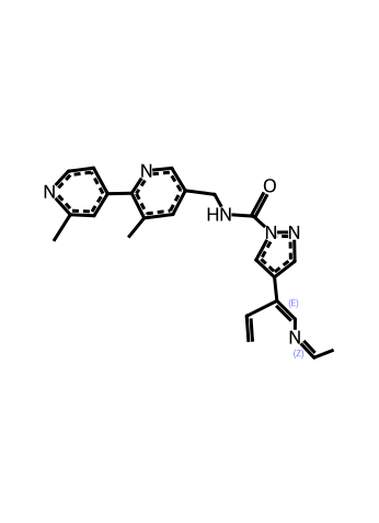 C=C/C(=C\N=C/C)c1cnn(C(=O)NCc2cnc(-c3ccnc(C)c3)c(C)c2)c1